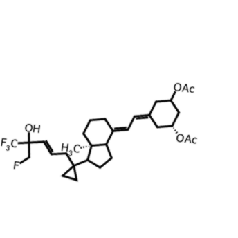 CC(=O)OC1C/C(=C/C=C2\CCC[C@@]3(C)C2CCC3C2(C/C=C/C(O)(CF)C(F)(F)F)CC2)C[C@@H](OC(C)=O)C1